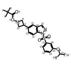 CC(C)(C)C(=O)ON1CC(c2ccc3c(cnn3S(=O)(=O)c3cccc(OC(F)F)c3)c2)C1